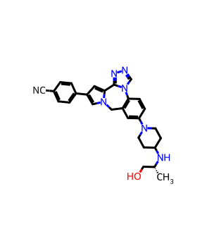 C[C@H](CO)NC1CCN(c2ccc3c(c2)Cn2cc(-c4ccc(C#N)cc4)cc2-c2nncn2-3)CC1